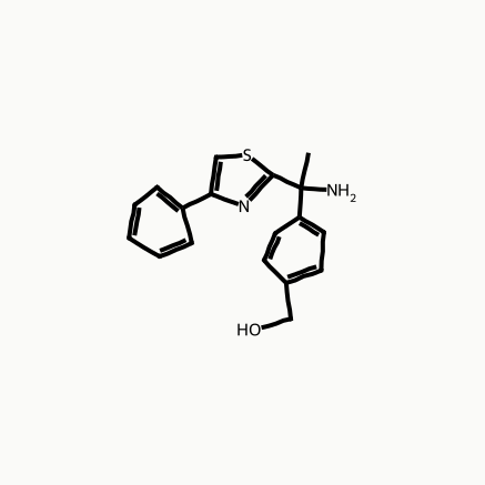 CC(N)(c1ccc(CO)cc1)c1nc(-c2ccccc2)cs1